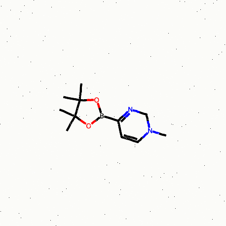 CN1C=CC(B2OC(C)(C)C(C)(C)O2)=NC1